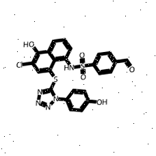 O=Cc1ccc(S(=O)(=O)Nc2cccc3c(O)c(Cl)cc(Sc4nnnn4-c4ccc(O)cc4)c23)cc1